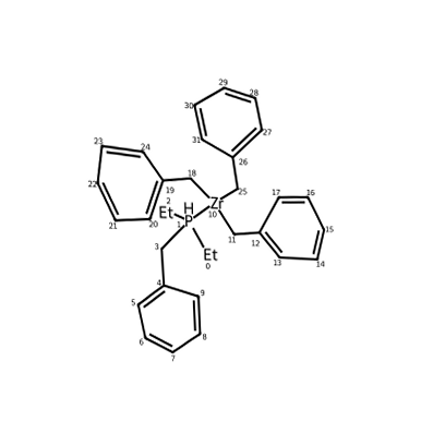 CC[PH](CC)(Cc1ccccc1)[Zr]([CH2]c1ccccc1)([CH2]c1ccccc1)[CH2]c1ccccc1